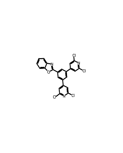 Clc1cc(-c2cc(-c3cc(Cl)nc(Cl)c3)cc(-c3nc4ccccc4o3)c2)cc(Cl)n1